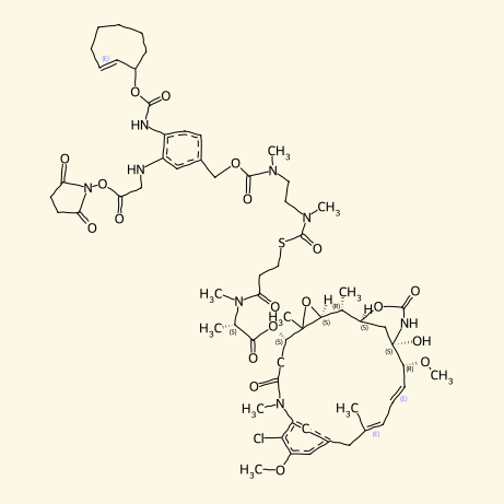 COc1cc2cc(c1Cl)N(C)C(=O)C[C@H](OC(=O)[C@H](C)N(C)C(=O)CCSC(=O)N(C)CCN(C)C(=O)OCc1ccc(NC(=O)OC3/C=C/CCCCC3)c(NCC(=O)ON3C(=O)CCC3=O)c1)C1(C)O[C@H]1[C@H](C)[C@@H]1C[C@@](O)(NC(=O)O1)[C@H](OC)/C=C/C=C(\C)C2